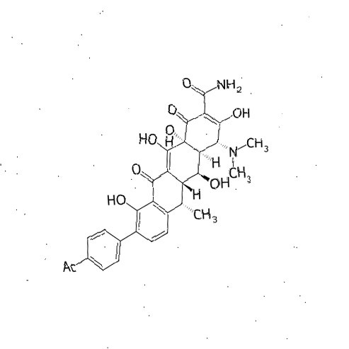 CC(=O)c1ccc(-c2ccc3c(c2O)C(=O)C2=C(O)[C@@]4(O)C(=O)C(C(N)=O)=C(O)[C@H](N(C)C)[C@H]4[C@@H](O)[C@@H]2[C@@H]3C)cc1